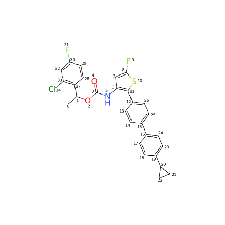 CC(OC(=O)Nc1cc(F)sc1-c1ccc(-c2ccc(C3CC3)cc2)cc1)c1ccc(F)cc1Cl